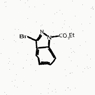 CCOC(=O)n1nc(Br)c2ccccc21